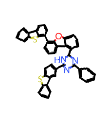 c1ccc(C2=NC(c3cccc4oc5c(-c6cccc7c6sc6ccccc67)cccc5c34)NC(c3ccc4sc5ccccc5c4c3)=N2)cc1